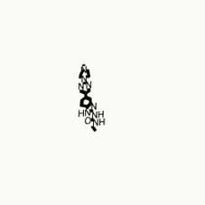 CCNC(=O)Nc1nc2cc(-c3cnc(N4CCN(C)CC4)nc3)ccc2[nH]1